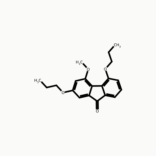 CCCOc1cc(OC)c2c(c1)C(=O)c1cccc(OCCC)c1-2